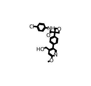 COc1cc(CO)c(-c2ccc(C3(C(=O)Nc4ccc(Cl)cc4)COC3)cc2)cn1